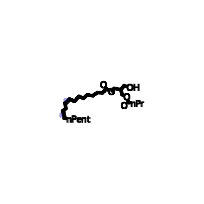 CCCCC/C=C\C/C=C\CCCCCCCC(=O)OCC(CO)COC(=O)CCC